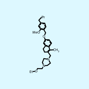 CCOCCN1CCN(CC2=C(C)c3ccc(OCc4ccc(CC(C)C)cc4OC)cc3CC2)CC1